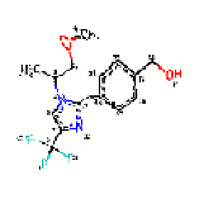 COCC(C)n1cc(C(F)(F)F)nc1-c1ccc(CO)cc1